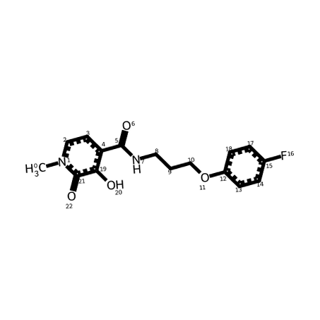 Cn1ccc(C(=O)NCCCOc2ccc(F)cc2)c(O)c1=O